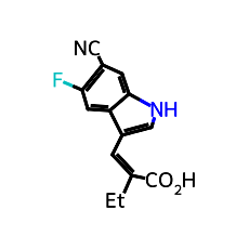 CCC(=Cc1c[nH]c2cc(C#N)c(F)cc12)C(=O)O